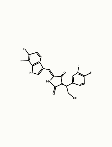 Cc1c(Cl)ccc2c(/C=C3\NC(=O)N(C(CO)c4ccc(F)c(F)c4)C3=O)c[nH]c12